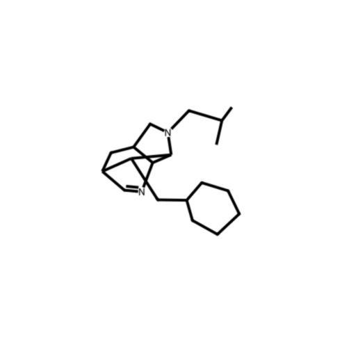 CC(C)CN1CC2CC3C=NC2C1C3CC1CCCCC1